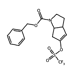 O=C(OCc1ccccc1)N1CCC2C=C(OS(=O)(=O)C(F)(F)F)CC21